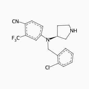 [C-]#[N+]c1ccc(N(Cc2ccccc2Cl)[C@H]2CCNC2)cc1C(F)(F)F